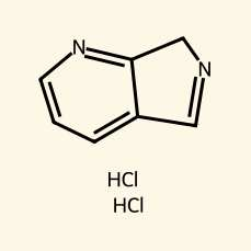 C1=NCc2ncccc21.Cl.Cl